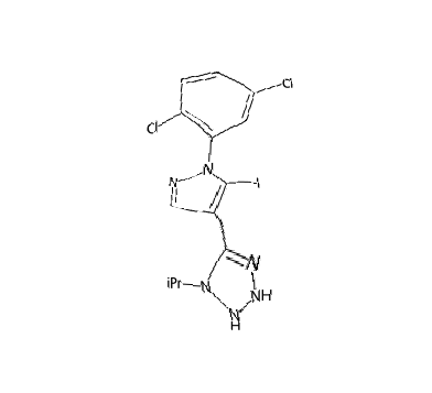 CC(C)N1NNN=C1c1cnn(-c2cc(Cl)ccc2Cl)c1I